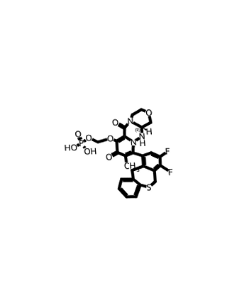 Cc1c(-c2cc(F)c(F)c3c2Cc2ccccc2SC3)n2c(c(OCOP(=O)(O)O)c1=O)C(=O)N1CCOC[C@H]1N2